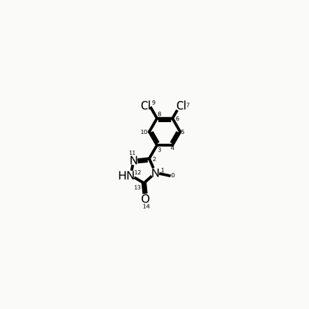 Cn1c(-c2ccc(Cl)c(Cl)c2)n[nH]c1=O